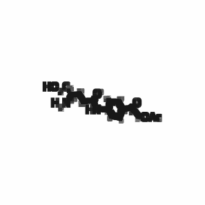 CC(=O)OCC(=O)c1ccc(NC(=O)CC[C@H](N)C(=O)O)cc1